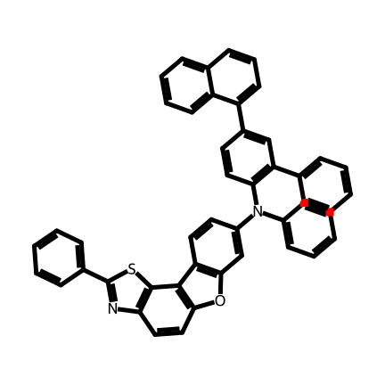 c1ccc(-c2nc3ccc4oc5cc(N(c6ccccc6)c6ccc(-c7cccc8ccccc78)cc6-c6ccccc6)ccc5c4c3s2)cc1